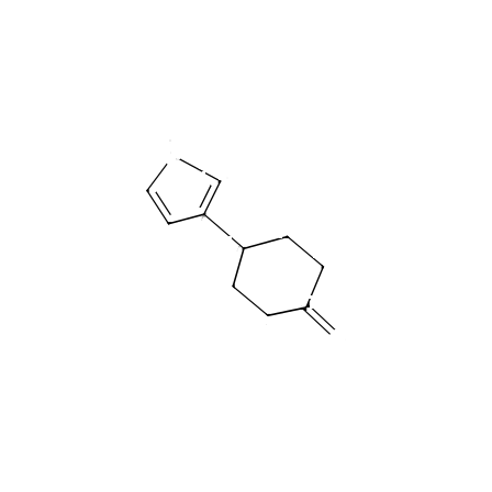 O=C1CCC(c2ccsc2)CC1